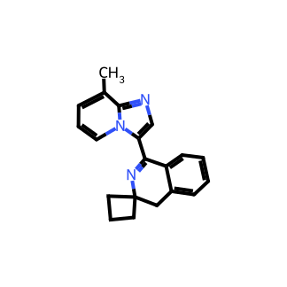 Cc1cccn2c(C3=NC4(CCC4)Cc4ccccc43)cnc12